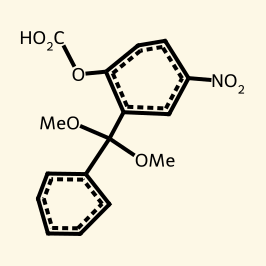 COC(OC)(c1ccccc1)c1cc([N+](=O)[O-])ccc1OC(=O)O